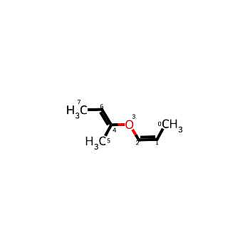 C/C=C\O/C(C)=C/C